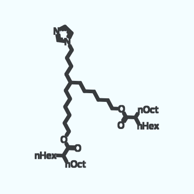 CCCCCCCCC(CCCCCC)C(=O)OCCCCCCC(CCCCCCOC(=O)C(CCCCCC)CCCCCCCC)CCCCn1ccnc1